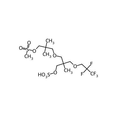 CC(C)(COCC(C)(COCC(F)(F)C(F)(F)F)COS(=O)(=O)O)COS(C)(=O)=O